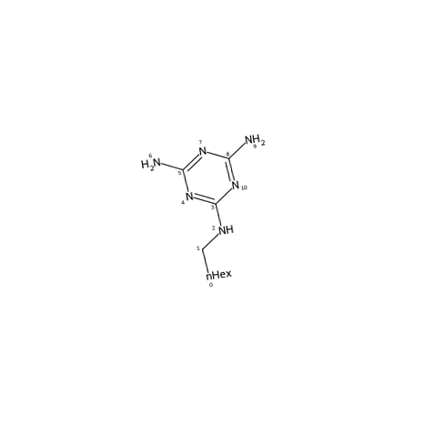 CCCCCCCNc1nc(N)nc(N)n1